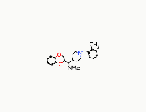 CNC(C1CCN(Cc2ccccc2C)CC1)C1COc2ccccc2O1